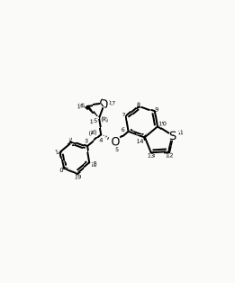 c1ccc([C@@H](Oc2cccc3sccc23)[C@H]2CO2)cc1